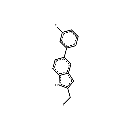 Fc1cccc(-c2cnc3[nH]c(CI)cc3c2)c1